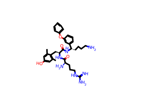 Cc1cc(O)cc(C)c1C[C@H](NC(=O)[C@H](N)CCCNC(=N)N)C(=O)N[C@@H](CCCCN)c1cccc(Oc2ccccc2)c1